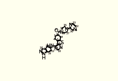 O=C([C@H]1CCc2c(sc3ncnc(Nc4ccc5[nH]ncc5c4)c23)C1)N1CCN(c2cnccn2)CC1